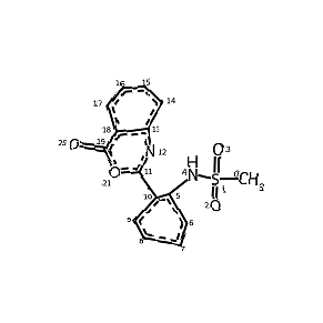 CS(=O)(=O)Nc1ccccc1-c1nc2ccccc2c(=O)o1